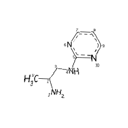 CC(N)CNc1ncccn1